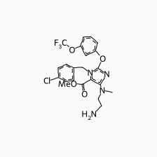 COC(=O)c1c(N(C)CCN)nc(Oc2cccc(OC(F)(F)F)c2)n1Cc1ccc(Cl)cc1